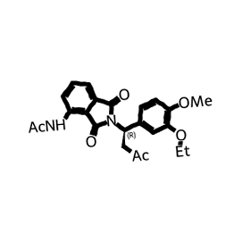 CCOc1cc([C@@H](CC(C)=O)N2C(=O)c3cccc(NC(C)=O)c3C2=O)ccc1OC